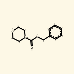 O=C([N]Cc1ccccc1)N1CCOCC1